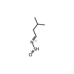 CC(C)C/C=N/[SH]=O